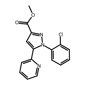 COC(=O)c1cc(-c2ccccn2)n(-c2ccccc2Cl)n1